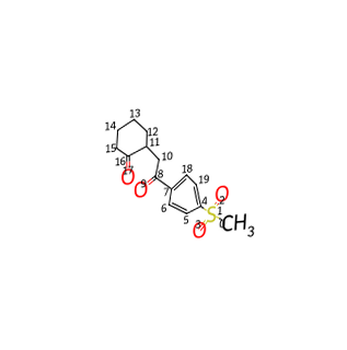 CS(=O)(=O)c1ccc(C(=O)CC2CCCCC2=O)cc1